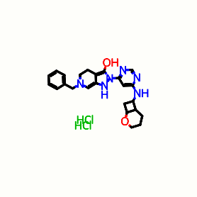 Cl.Cl.OC1=C2CCN(Cc3ccccc3)C=C2NN1c1cc(NC2CC3OCCCC23)ncn1